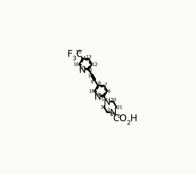 O=C(O)N1CCN(c2ccc(C#Cc3ccc(C(F)(F)F)cn3)cn2)CC1